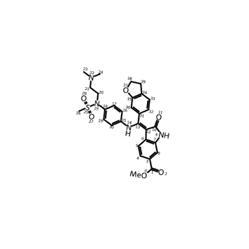 COC(=O)c1ccc2c(c1)NC(=O)C2=C(Nc1ccc(N(CCN(C)C)S(C)(=O)=O)cc1)c1ccc2c(c1)OCC2